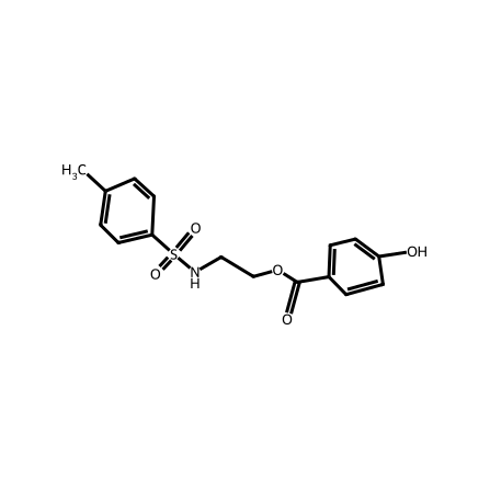 Cc1ccc(S(=O)(=O)NCCOC(=O)c2ccc(O)cc2)cc1